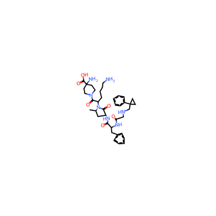 CC1C[C@@H](NC(=O)C(Cc2ccccc2)NC(=O)CNCC2(c3ccccc3)CC2)C(=O)N1C(CCCCN)C(=O)N1CCC(N)(C(=O)O)CC1